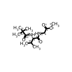 COC(=O)CNC(=O)[C@@H](NC(=O)C(C)(C)C)C(C)C